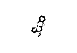 CCN(CC(=O)Oc1ccccc1Cl)c1cccs1